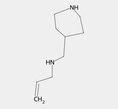 C=CCNCC1CCNCC1